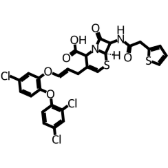 O=C(Cc1cccs1)NC1C(=O)N2C(C(=O)O)C(C/C=C/Oc3cc(Cl)ccc3Oc3ccc(Cl)cc3Cl)=CS[C@H]12